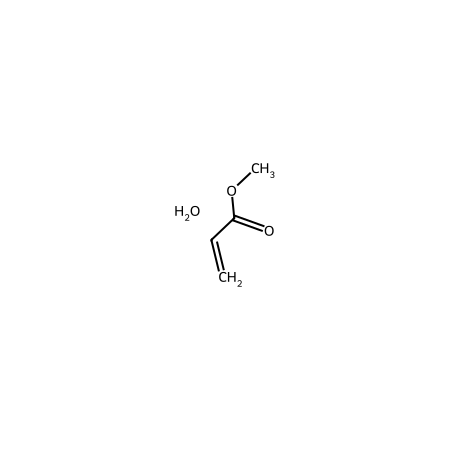 C=CC(=O)OC.O